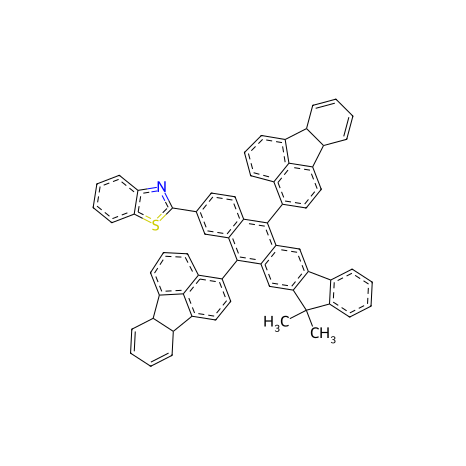 CC1(C)c2ccccc2-c2cc3c(-c4ccc5c6c(cccc46)C4C=CC=CC54)c4ccc(-c5nc6ccccc6s5)cc4c(-c4ccc5c6c(cccc46)C4C=CC=CC54)c3cc21